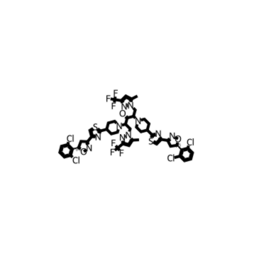 Cc1cc(C(F)(F)F)nn1CC(C(=O)C(Cn1nc(C(F)(F)F)cc1C)N1CCC(c2nc(C3=NO[C@@H](c4c(Cl)cccc4Cl)C3)cs2)CC1)N1CCC(c2nc(C3=NO[C@@H](c4c(Cl)cccc4Cl)C3)cs2)CC1